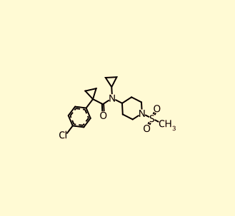 CS(=O)(=O)N1CCC(N(C(=O)C2(c3ccc(Cl)cc3)CC2)C2CC2)CC1